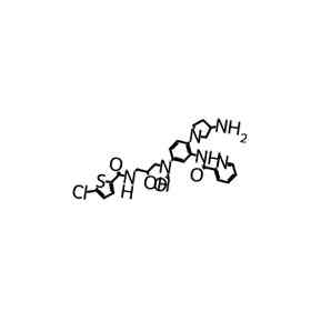 NC1CCN(c2ccc(N(C=O)CC(O)CNC(=O)c3ccc(Cl)s3)cc2NC(=O)c2ccccn2)C1